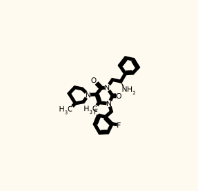 Cc1c(N2CCCC(C)C2)c(=O)n(C[C@@H](N)c2ccccc2)c(=O)n1Cc1c(F)cccc1F